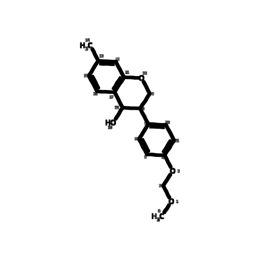 COCOc1ccc(C2COc3cc(C)ccc3C2O)cc1